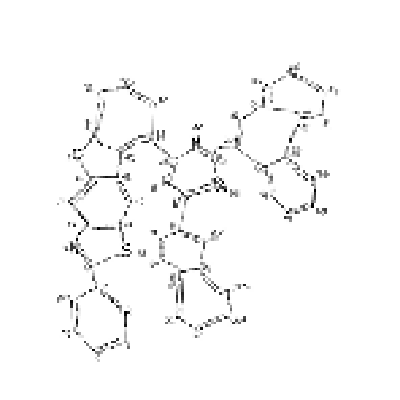 c1ccc(-c2nc3cc4oc5cccc(-c6nc(-c7ccc8ccccc8c7)nc(-c7cc8ccccc8c8ccccc78)n6)c5c4cc3s2)cc1